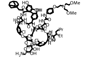 CC[C@H](CC(C)C)C(=O)N[C@H]1C(=O)C[C@@H](CC(=O)NC(=O)Nc2ccc(OCCN(CCOC)CCOC)cc2)C(=O)NC2C(=O)C[C@H]3C(=O)N[C@H](C(=O)N[C@H](C(=O)CC4C5CC6CC(C5)CC4C6)c4cc(O)cc(O)c4-c4cc3ccc4O)[C@H](O)c3ccc(c(Cl)c3)Oc3cc2cc(c3O[C@@H]2O[C@H](CN)[C@@H](O)[C@H](O)[C@H]2O)Oc2ccc(cc2Cl)[C@H]1O